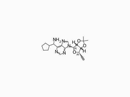 C#C[C@H]1O[C@@H](n2cnc3c(C(N)C4CCCC4)ncnc32)[C@@H]2OC(C)(C)O[C@@H]21